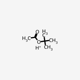 CC(=O)OC(C)(C)C.[H+]